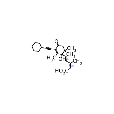 CC1=C(C#CC2CCCCC2)C(=O)CC(C)(C)[C@@]1(O)/C=C/C(C)=C\C(=O)O